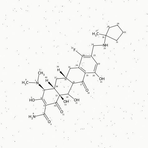 CN(C)[C@@H]1C(O)=C(C(N)=O)C(=O)[C@@]2(O)C(O)C3C(=O)c4c(O)cc(CNC5(C)CCCC5)c(F)c4C[C@H]3C[C@@H]12